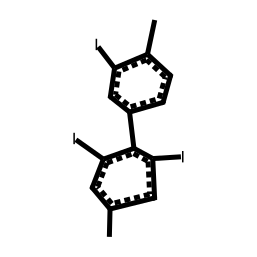 Cc1cc(I)c(-c2ccc(C)c(I)c2)c(I)c1